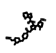 CSc1ccc(C)c(-c2nn(CC(=O)N3CCC(CN4CCN(CC=O)C(C)C4)CC3)cc2NC(=O)c2cnn3cccnc23)c1